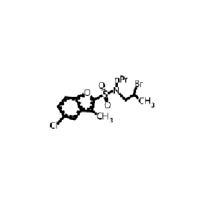 CCCN(CC(C)Br)S(=O)(=O)c1oc2ccc(Cl)cc2c1C